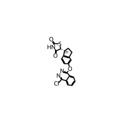 O=C1NC(=O)C([C@@H]2CCc3cc(Oc4nnc(Cl)c5ccccc45)ccc32)S1